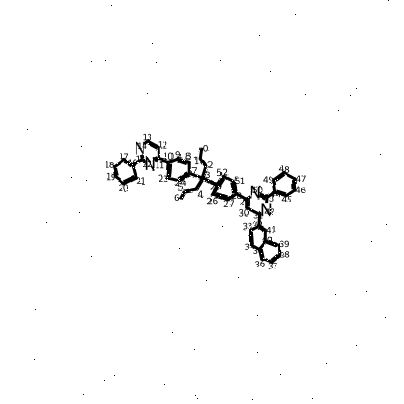 CCCC(CCC)(c1ccc(-c2ccnc(-c3ccccc3)n2)cc1)c1ccc(-c2cc(-c3ccc4ccccc4c3)nc(-c3ccccc3)n2)cc1